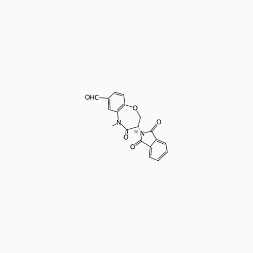 CN1C(=O)[C@@H](N2C(=O)c3ccccc3C2=O)COc2ccc(C=O)cc21